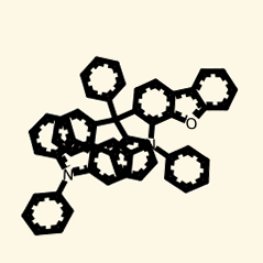 c1ccc(N(c2ccc3c(c2)c2ccccc2n3-c2ccccc2)c2c(C3(c4ccccc4)c4ccccc4-c4ccccc43)ccc3c2oc2ccccc23)cc1